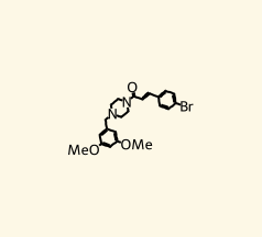 COc1cc(CN2CCN(C(=O)C=Cc3ccc(Br)cc3)CC2)cc(OC)c1